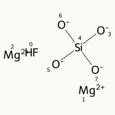 F.[Mg+2].[Mg+2].[O-][Si]([O-])([O-])[O-]